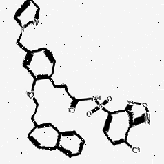 O=C(CCc1ccc(Cn2cccn2)cc1OCCc1ccc2ccccc2c1)NS(=O)(=O)c1ccc(Cl)c2nonc12